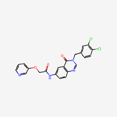 O=C(COc1cccnc1)Nc1ccc2ncn(Cc3ccc(Cl)c(Cl)c3)c(=O)c2c1